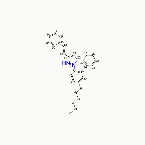 CCCCCCc1ccc(N2NC(C=Cc3ccccc3)=CC2c2ccccc2)cc1